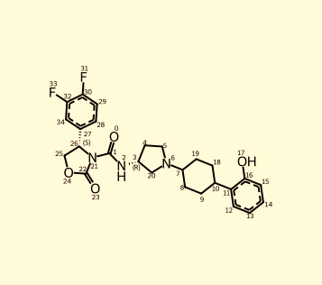 O=C(N[C@@H]1CCN(C2CCC(c3ccccc3O)CC2)C1)N1C(=O)OC[C@@H]1c1ccc(F)c(F)c1